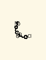 O=S(=O)(CC=Cc1ccc(Cl)cc1)N1CCC(Cc2ccc(C3=NCCO3)cc2)CC1